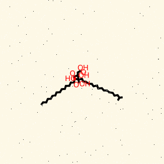 CCCCCCCCCCCCCCCCC(CCCCCCCCCCCCCCCC(C)C)(C(=O)O)C(O)(CC(=O)O)C(=O)O